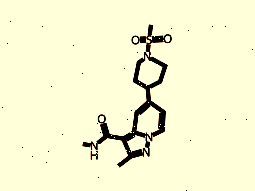 CNC(=O)c1c(C)nn2ccc(C3CCN(S(C)(=O)=O)CC3)cc12